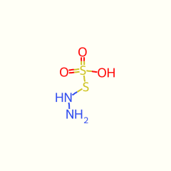 NNSS(=O)(=O)O